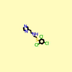 Clc1cc(Cl)c(SCCNCCc2cnccn2)c(Cl)c1